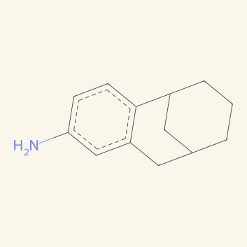 Nc1ccc2c(c1)CC1CCCC2C1